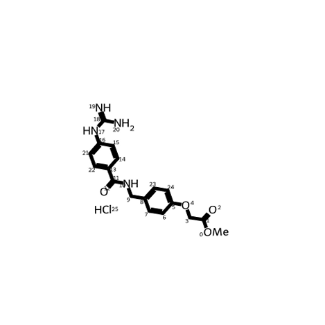 COC(=O)COc1ccc(CNC(=O)c2ccc(NC(=N)N)cc2)cc1.Cl